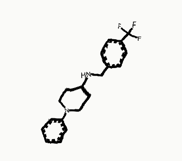 FC(F)(F)c1ccc(CNC2CCN(c3[c]cccc3)CC2)cc1